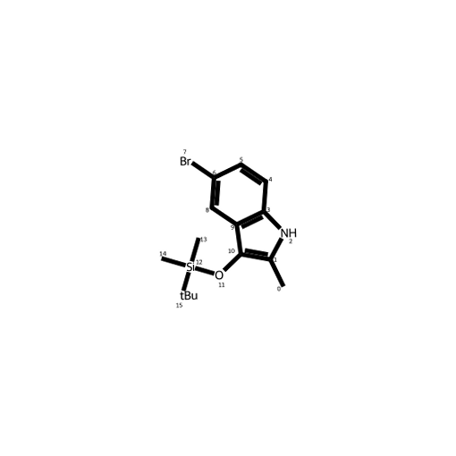 Cc1[nH]c2ccc(Br)cc2c1O[Si](C)(C)C(C)(C)C